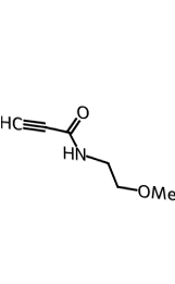 C#CC(=O)NCCOC